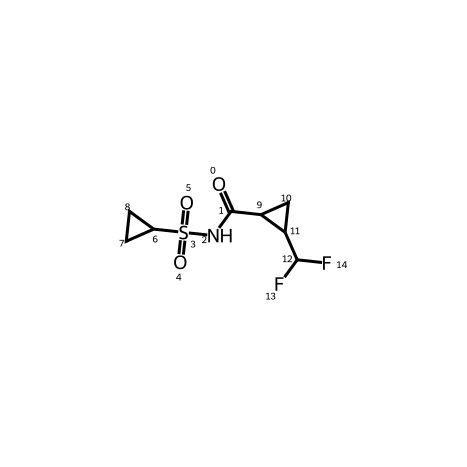 O=C(NS(=O)(=O)C1CC1)C1CC1C(F)F